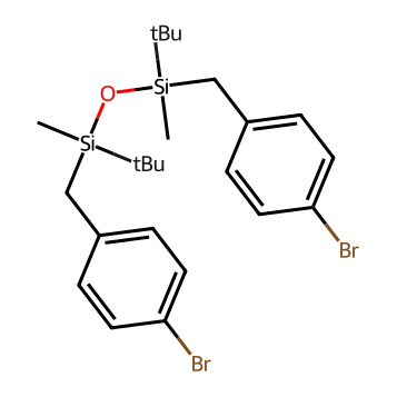 CC(C)(C)[Si](C)(Cc1ccc(Br)cc1)O[Si](C)(Cc1ccc(Br)cc1)C(C)(C)C